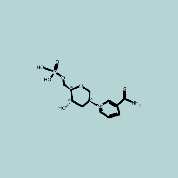 NC(=O)c1ccc[n+]([C@@H]2CO[C@H](COP(=O)(O)O)[C@@H](O)C2)c1